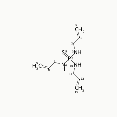 C=CCNP(=S)(NCC=C)NCC=C